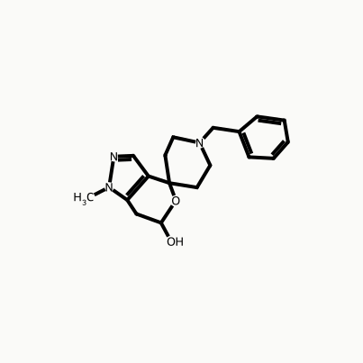 Cn1ncc2c1CC(O)OC21CCN(Cc2ccccc2)CC1